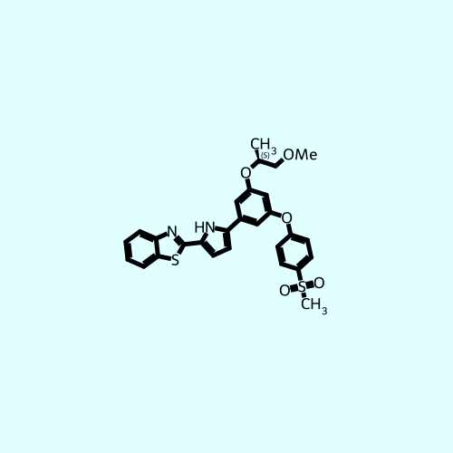 COC[C@H](C)Oc1cc(Oc2ccc(S(C)(=O)=O)cc2)cc(-c2ccc(-c3nc4ccccc4s3)[nH]2)c1